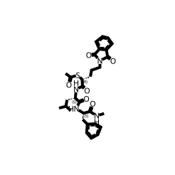 CNC(=O)[C@H](Cc1ccccc1)NC(=O)[C@H](CC(C)C)NC(=O)[C@@H](CCCN1C(=O)c2ccccc2C1=O)SC(C)=O